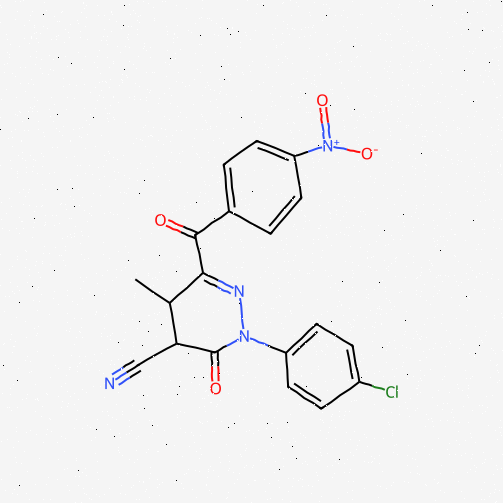 CC1C(C(=O)c2ccc([N+](=O)[O-])cc2)=NN(c2ccc(Cl)cc2)C(=O)C1C#N